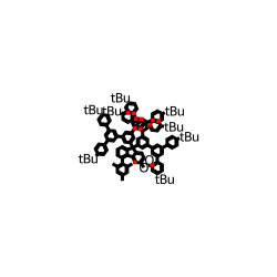 Cc1cc(C)c(-c2cccc3c2-c2cc4c(cc2C3(c2cc(-c3cc(-c5ccc(C(C)(C)C)cc5)cc(-c5ccc(C(C)(C)C)cc5)c3)cc(-c3cc(-c5ccc(C(C)(C)C)cc5)cc(-c5ccc(C(C)(C)C)cc5)c3)c2)c2cc(-c3cc(-c5ccc(C(C)(C)C)cc5)cc(-c5ccc(C(C)(C)C)cc5)c3)cc(-c3cc(-c5ccc(C(C)(C)C)cc5)cc(-c5ccc(C(C)(C)C)cc5)c3)c2)OCO4)c(C)c1